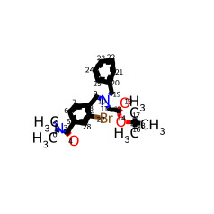 CN(C)C(=O)c1ccc(CN(CC(=O)OC(C)(C)C)Cc2ccccc2)c(Br)c1